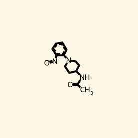 CC(=O)NC1CCN(c2ccccc2N=O)CC1